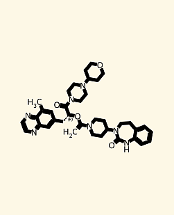 C=C(O[C@H](Cc1cc(C)c2nccnc2c1)C(=O)N1CCN(C2CCOCC2)CC1)N1CCC(N2CCc3ccccc3NC2=O)CC1